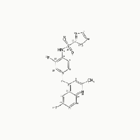 Cc1cc(Cc2ccc(NS(=O)(=O)c3cccs3)c(F)c2)c2cc(F)ccc2n1